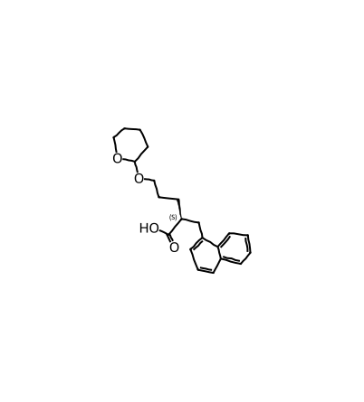 O=C(O)[C@@H](CCCOC1CCCCO1)Cc1cccc2ccccc12